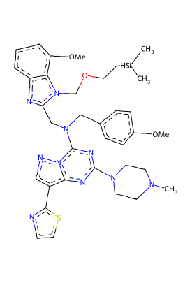 COc1ccc(CN(Cc2nc3cccc(OC)c3n2COCC[SiH](C)C)c2nc(N3CCN(C)CC3)nc3c(-c4nccs4)cnn23)cc1